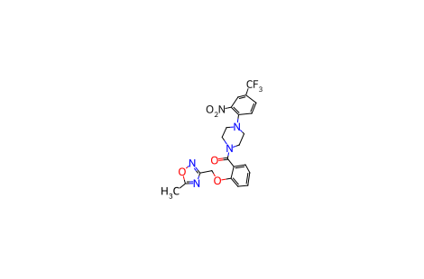 Cc1nc(COc2ccccc2C(=O)N2CCN(c3ccc(C(F)(F)F)cc3[N+](=O)[O-])CC2)no1